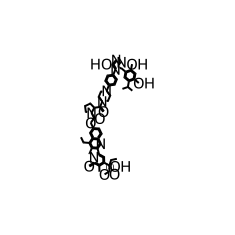 CCc1c2c(nc3ccc(OC(=O)N4CCCC4C(=O)N4CCN(c5ccc(-n6c(O)nnc6-c6cc(C(C)C)c(O)cc6O)cc5)CC4)cc13)-c1cc3c(c(=O)n1C2)COC(=O)[C@]3(O)CC